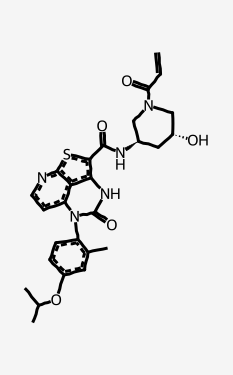 C=CC(=O)N1C[C@H](O)C[C@@H](NC(=O)c2sc3nccc4c3c2NC(=O)N4c2ccc(OC(C)C)cc2C)C1